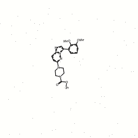 COc1cccc(-c2cnc3ccc(N4CCN(C(=O)OC(C)C)CC4)nn23)c1OC